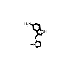 CN1CCC[C@H]1Cc1c[nH]c2ccc(N)cc12